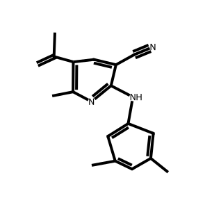 C=C(C)c1cc(C#N)c(Nc2cc(C)cc(C)c2)nc1C